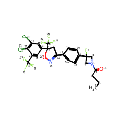 CCCC(=O)N1CC(F)(c2ccc(C3=NOC(c4cc(Cl)c(Cl)c(C(F)(F)F)c4)(C(F)(F)F)C3)cc2)C1